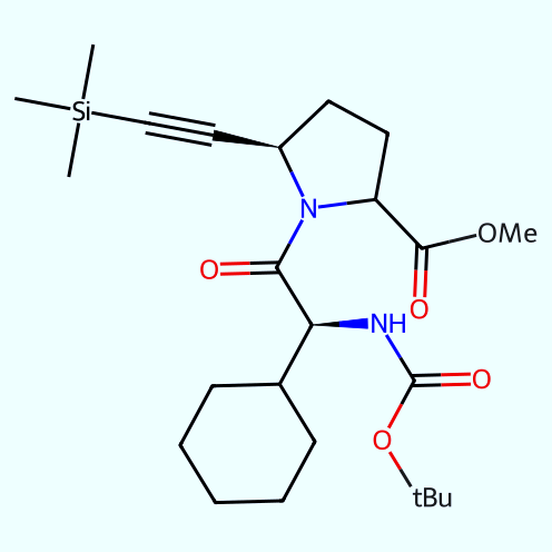 COC(=O)C1CC[C@H](C#C[Si](C)(C)C)N1C(=O)[C@@H](NC(=O)OC(C)(C)C)C1CCCCC1